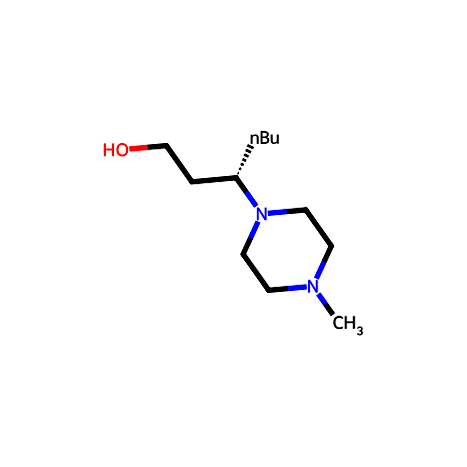 CCCC[C@@H](CCO)N1CCN(C)CC1